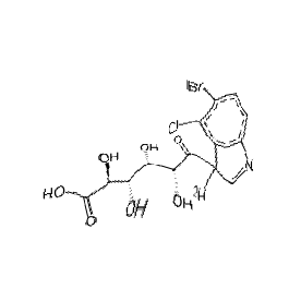 [2H]C1(C(=O)[C@H](O)[C@@H](O)[C@H](O)[C@H](O)C(=O)O)C=Nc2ccc(Br)c(Cl)c21